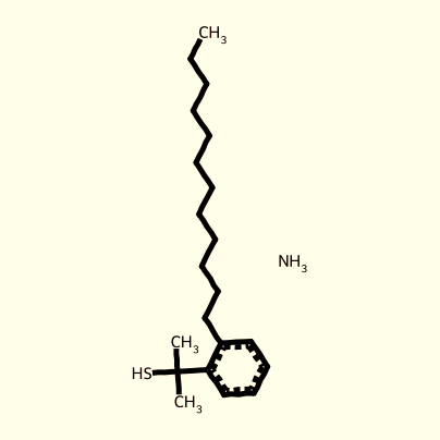 CCCCCCCCCCCCc1ccccc1C(C)(C)S.N